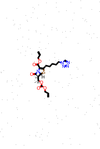 C=CCOC(=O)O[C@H](C)[C@H]1C(=O)N2C(C(=O)OCC=C)=C(CCCCCn3cnnn3)S[C@H]12